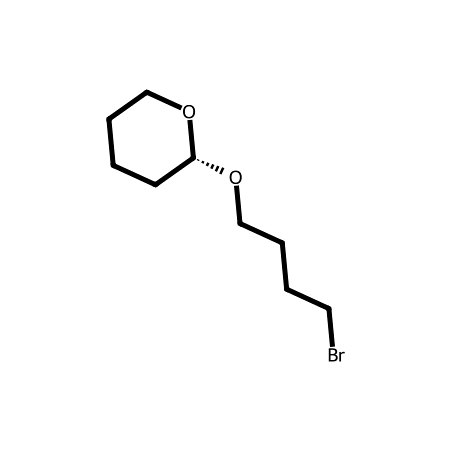 BrCCCCO[C@@H]1CCCCO1